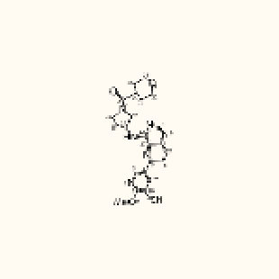 COc1ncc(-c2ccc3ncnc(N[C@H]4CCN(C(=O)C5CCOCC5)C4)c3n2)cc1C#N